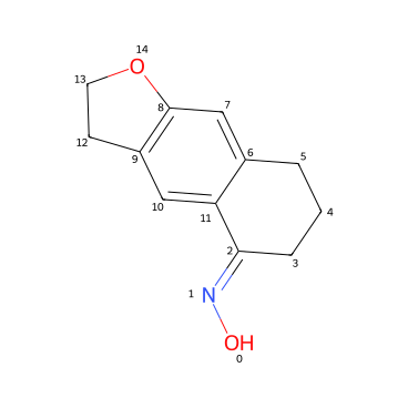 ON=C1CCCc2cc3c(cc21)CCO3